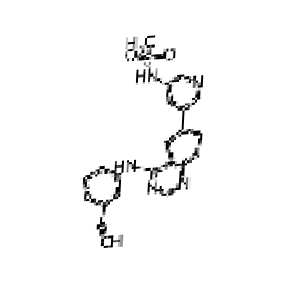 C#Cc1cccc(Nc2ncnc3ccc(-c4cncc(NS(C)(=O)=O)c4)cc23)c1